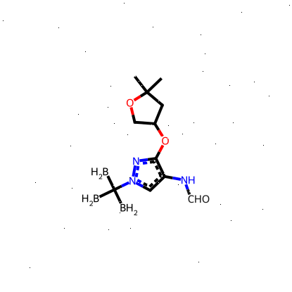 BC(B)(B)n1cc(NC=O)c(OC2COC(C)(C)C2)n1